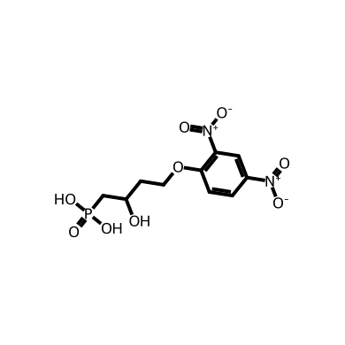 O=[N+]([O-])c1ccc(OCCC(O)CP(=O)(O)O)c([N+](=O)[O-])c1